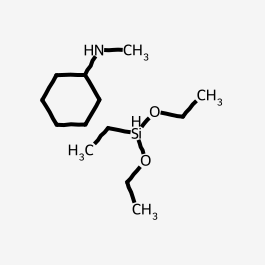 CCO[SiH](CC)OCC.CNC1CCCCC1